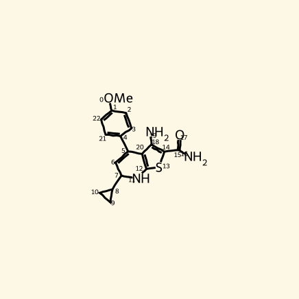 COc1ccc(C2=CC(C3CC3)Nc3sc(C(N)=O)c(N)c32)cc1